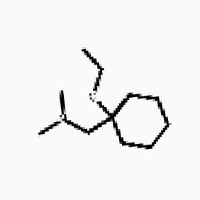 CCOC1(CN(C)C)CCCCC1